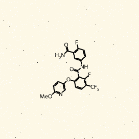 COc1ccc(Oc2ccc(C(F)(F)F)c(F)c2C(=O)Nc2ccc(F)c(C(N)=O)c2)cn1